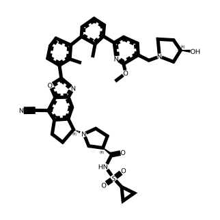 COc1nc(-c2cccc(-c3cccc(-c4nc5cc6c(c(C#N)c5o4)CC[C@H]6N4CC[C@@H](C(=O)NS(=O)(=O)C5CC5)C4)c3C)c2C)ccc1CN1CC[C@@H](O)C1